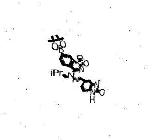 CC(C)CN(/N=C/c1ccc2[nH]c(=O)n(C)c2c1)C1=NS(=O)(=O)c2cc(B3OC(C)(C)C(C)(C)O3)ccc21